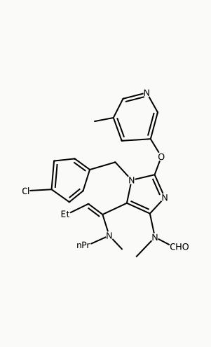 CC/C=C(/c1c(N(C)C=O)nc(Oc2cncc(C)c2)n1Cc1ccc(Cl)cc1)N(C)CCC